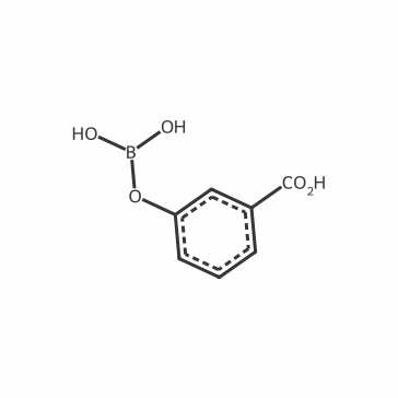 O=C(O)c1cccc(OB(O)O)c1